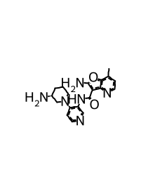 Cc1ccnc2c(C(=O)Nc3cnccc3N3CCC[C@H](N)C3)c(N)oc12